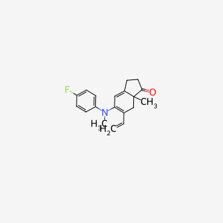 C=CC1=C(N(C)c2ccc(F)cc2)C=C2CCC(=O)C2(C)C1